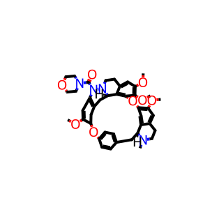 COC1=CC2=C3CC1Oc1ccc(cc1)C[C@H]1c4cc(c(OC)cc4CCN1C)Oc1c(OC)c(OC)cc4c1[C@H](C3)N(CC4)N2C(=O)N1CCOCC1